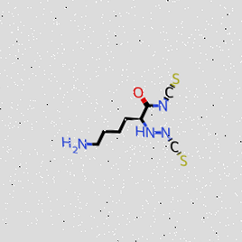 NCCCC[C@H](NN=C=S)C(=O)N=C=S